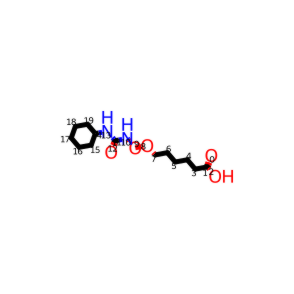 O=C(O)CCCCCOONC(=O)NC1CCCCC1